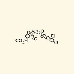 CC(Oc1ccc(Cl)cc1Cl)c1ccc(C(=O)N2CCN(Cc3nc4ccc(C(=O)O)cc4n3C[C@@H]3CCO3)CC2)o1